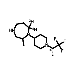 [2H]C1([2H])CCNCC(C)N1C1CCN([C@@H](C)C(F)(F)F)CC1